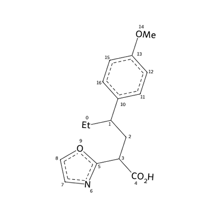 CCC(CC(C(=O)O)c1ncco1)c1ccc(OC)cc1